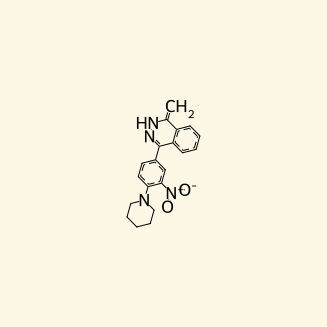 C=C1NN=C(c2ccc(N3CCCCC3)c([N+](=O)[O-])c2)c2ccccc21